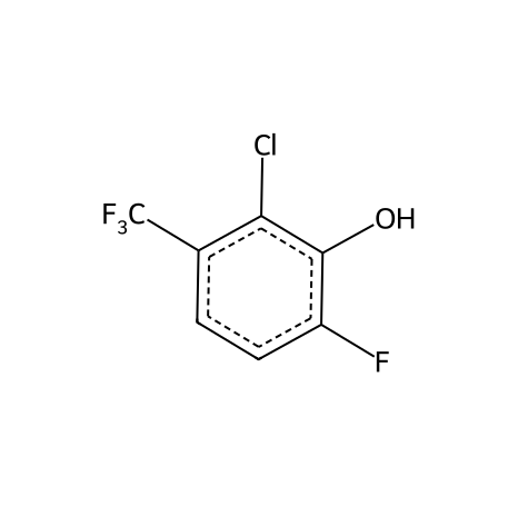 Oc1c(F)ccc(C(F)(F)F)c1Cl